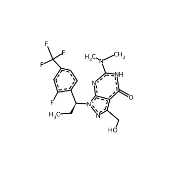 CC[C@@H](c1ccc(C(F)(F)F)cc1F)n1nc(CO)c2c(=O)[nH]c(N(C)C)nc21